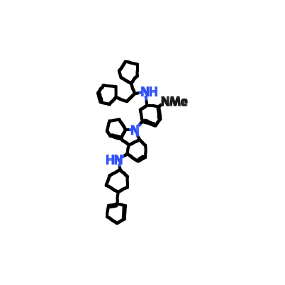 CNC1=CC=C(N2C3CCCC=C3C3C(NC4CCC(C5=CCCC=C5)CC4)C=CCC32)CC1NC(CC1CC=CCC1)C1CCCCC1